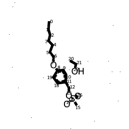 CCCCCCCOc1ccc(COS(C)(=O)=O)cc1.CCO